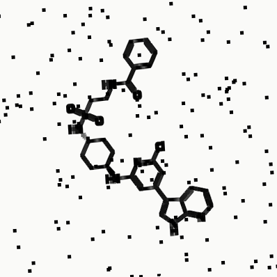 O=C(NCCS(=O)(=O)N[C@H]1CC[C@H](Nc2cc(-c3c[nH]c4ncccc34)cc(Cl)n2)CC1)c1ccccc1